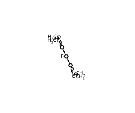 C=C(C)C(=O)O/C=C\Oc1ccc(C#Cc2ccc(C#Cc3ccc(O/C=C\OC(=O)C(=C)C)cc3)c(F)c2)cc1